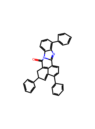 O=c1c2c3c(c(-c4ccccc4)ccc3c3nc4c(-c5ccccc5)cccc4n13)=CC(c1ccccc1)C2